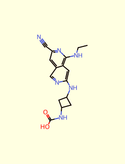 CCNc1nc(C#N)cc2cnc(NC3CC(NC(=O)O)C3)cc12